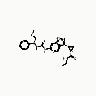 CCNC(=O)[C@H]1C[C@@H]1c1n[nH]c2cc(NC(=O)N[C@H](COC)c3ccccc3)ncc12